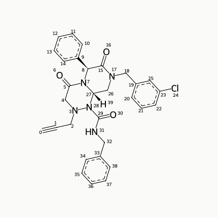 C#CCN1CC(=O)N2[C@@H](c3ccccc3)C(=O)N(Cc3cccc(Cl)c3)C[C@@H]2N1C(=O)NCc1ccccc1